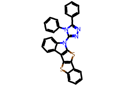 c1ccc(-c2nnc(-n3c4ccccc4c4c5sc6ccccc6c5sc43)n2-c2ccccc2)cc1